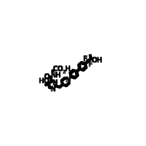 CC(O)C(F)(F)c1ccc(-c2ccc(N3CCC(CC4=NC(C(=O)NCC(=O)O)C(C)(O)C=N4)CC3)cc2)cc1